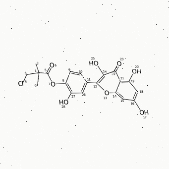 CC(C)(CCl)C(=O)Oc1ccc(-c2oc3cc(O)cc(O)c3c(=O)c2O)cc1O